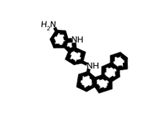 Nc1ccc2c(c1)[nH]c1cc(Nc3cccc4ccc5cc6ccccc6cc5c34)ccc12